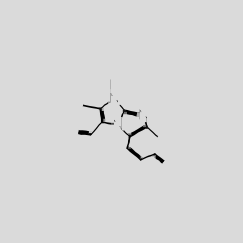 C=C/C=C\c1c(C)nc2[nH]c(C)c(C=C)n12